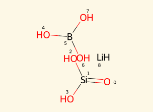 O=[Si](O)O.OB(O)O.[LiH]